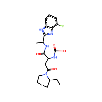 CC[C@H]1CCCCN1C(=O)CC(NC(=O)O)C(=O)NC(C)c1nc2c(F)cccc2[nH]1